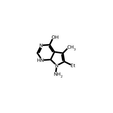 CCC1=C(C)C2=C(O)N=CNC2N1N